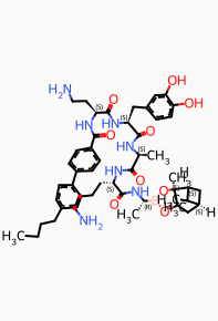 CCCCc1ccc(-c2ccc(C(=O)N[C@@H](CCN)C(=O)N[C@@H](Cc3ccc(O)c(O)c3)C(=O)N[C@@H](C)C(=O)N[C@@H](CCCCN)C(=O)N[C@@H](C)B3OC4C[C@@H]5C[C@@H](C5(C)C)[C@]4(C)O3)cc2)cc1